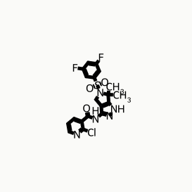 CC1(C)c2[nH]nc(NC(=O)c3cccnc3Cl)c2CN1S(=O)(=O)c1cc(F)cc(F)c1